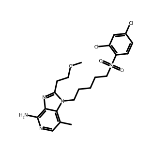 COCCc1nc2c(N)ncc(C)c2n1CCCCCS(=O)(=O)c1ccc(Cl)cc1Cl